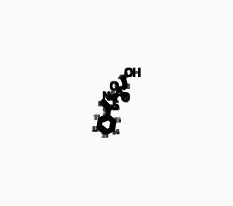 O=S(=O)(CCO)c1ncc(-c2ccccc2)s1